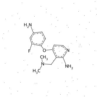 CN(C)Cc1c(Oc2ccc(N)cc2F)ccnc1N